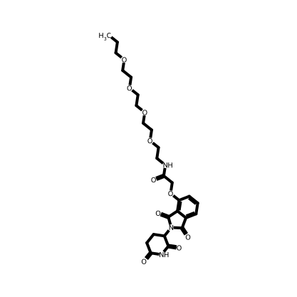 CCCOCCOCCOCCOCCNC(=O)COc1cccc2c1C(=O)N(C1CCC(=O)NC1=O)C2=O